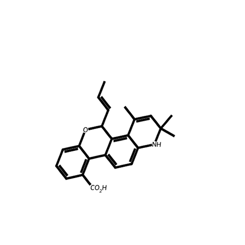 CC=CC1Oc2cccc(C(=O)O)c2-c2ccc3c(c21)C(C)=CC(C)(C)N3